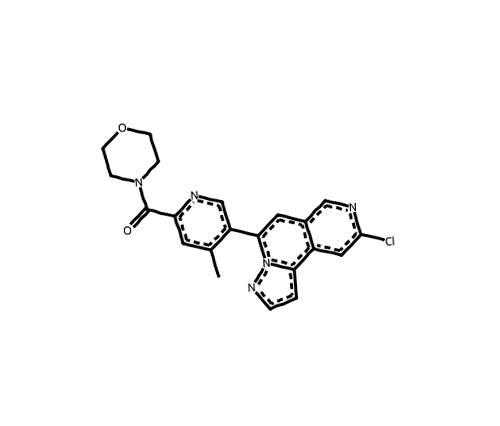 Cc1cc(C(=O)N2CCOCC2)ncc1-c1cc2cnc(Cl)cc2c2ccnn12